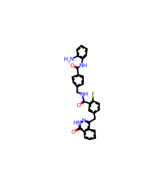 Nc1ccccc1NC(=O)c1ccc(CNC(=O)c2cc(Cc3n[nH]c(=O)c4ccccc34)ccc2F)cc1